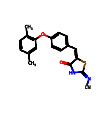 Cc1ccc(C)c(Oc2ccc(C=C3SC(=NC#N)NC3=O)cc2)c1